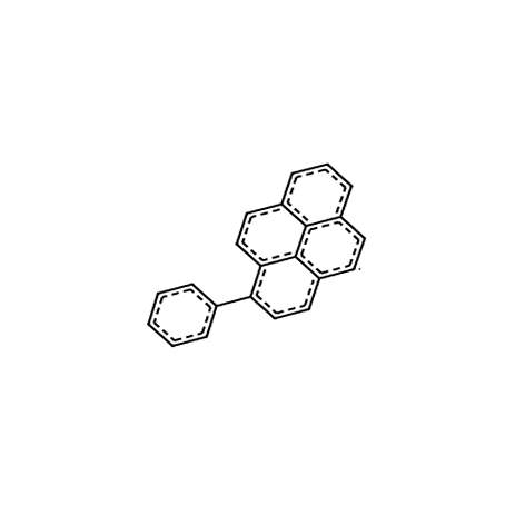 [c]1cc2cccc3ccc4c(-c5ccccc5)ccc1c4c23